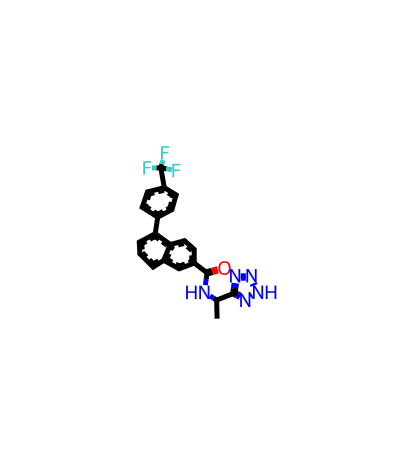 CC(NC(=O)c1ccc2c(-c3ccc(C(F)(F)F)cc3)cccc2c1)c1nn[nH]n1